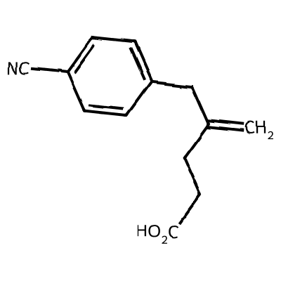 C=C(CCC(=O)O)Cc1ccc(C#N)cc1